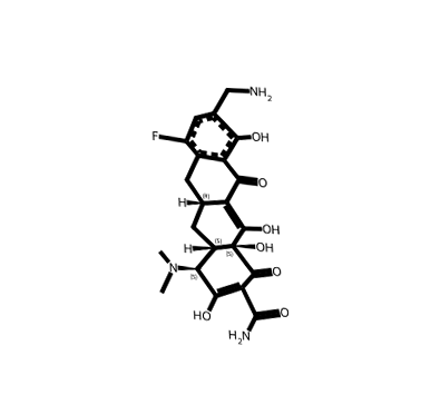 CN(C)[C@@H]1C(O)=C(C(N)=O)C(=O)[C@@]2(O)C(O)=C3C(=O)c4c(O)c(CN)cc(F)c4C[C@H]3C[C@@H]12